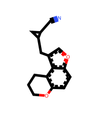 N#CC1CC1Cc1coc2ccc3c(c12)CCCO3